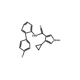 Cn1cc(C(=S)Nc2ccccc2-c2ccc(F)cc2)c(C2CC2)c1